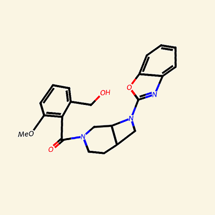 COc1cccc(CO)c1C(=O)N1CCC2CN(c3nc4ccccc4o3)C2C1